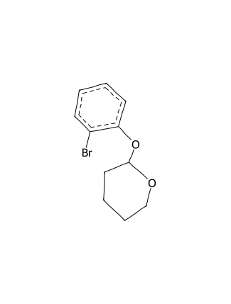 Brc1ccccc1OC1CCCCO1